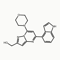 OCc1cc2nc(-c3cccc4[nH]ccc34)cc(N3CCOCC3)n2n1